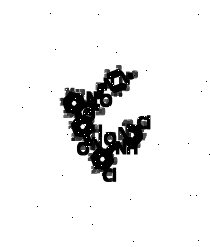 CN1CCN(CC(=O)N=S(C)(=O)c2ccccc2-c2ccc(C(=O)Nc3ccc(Cl)cc3C(=O)Nc3ccc(Cl)cn3)cc2)CC1